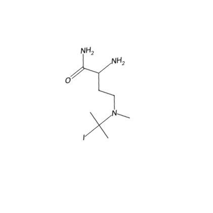 CN(CCC(N)C(N)=O)C(C)(C)I